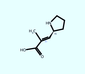 C/C(=C\[C@@H]1CCCN1)C(=O)O